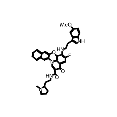 COc1ccc2[nH]cc(CCNc3c(F)cc4c(=O)c(C(=O)NCCC5CCCN5C)cn5c4c3Oc3cc4ccccc4cc3-5)c2c1